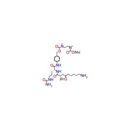 COC(=O)N(C)CCN(C)C(=O)OCc1ccc(NC(=O)[C@@H](CCCNC(N)=O)NC(=O)[C@H](CC(=O)CCCCCN)C(C)C)cc1